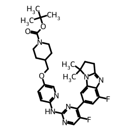 CC(C)(C)OC(=O)N1CCC(COc2ccc(Nc3ncc(F)c(-c4cc(F)c5nc6n(c5c4)C(C)(C)CC6)n3)nc2)CC1